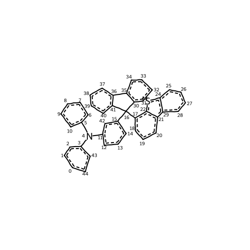 c1ccc(N(c2ccccc2)c2cccc(C3(c4cccc5c4sc4ccccc45)c4ccccc4-c4ccccc43)c2)cc1